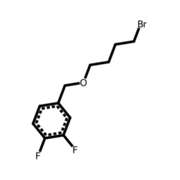 Fc1ccc(COCCCCBr)cc1F